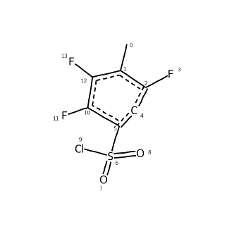 Cc1c(F)cc(S(=O)(=O)Cl)c(F)c1F